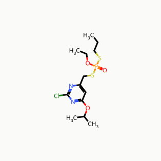 CCCSP(=O)(OCC)SCc1cc(OC(C)C)nc(Cl)n1